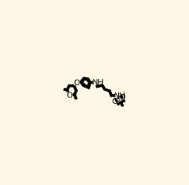 CC1CC(Oc2ccc(NCCCCCNS(=O)(=O)C(C)(C)C)cc2)CC(C)O1